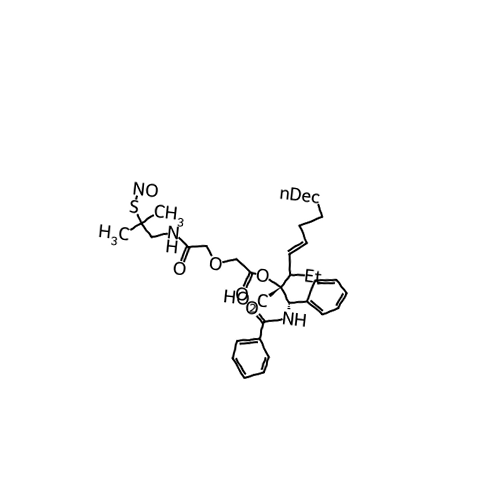 CCCCCCCCCCCCC=CC(CC)[C@](OC(=O)COCC(=O)NCC(C)(C)SN=O)(C(=O)O)[C@@H](NC(=O)c1ccccc1)c1ccccc1